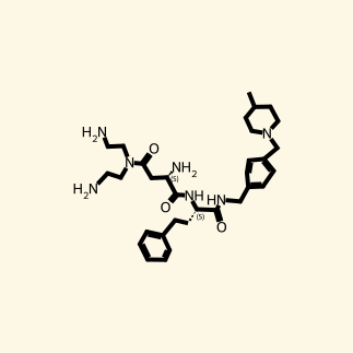 CC1CCN(Cc2ccc(CNC(=O)[C@H](CCc3ccccc3)NC(=O)[C@@H](N)CC(=O)N(CCN)CCN)cc2)CC1